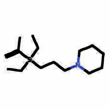 C=C(C)[Si](CC)(CC)CCCN1CCCCC1